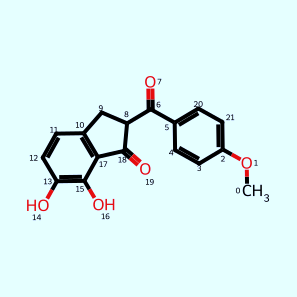 COc1ccc(C(=O)C2Cc3ccc(O)c(O)c3C2=O)cc1